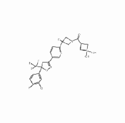 O=C(C1CS(O)(O)C1)N1CC(F)(c2ccc(C3=NOC(c4ccc(F)c(Cl)c4)(C(F)(F)F)C3)cn2)C1